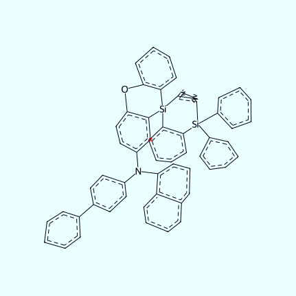 c1ccc(-c2ccc(N(c3ccc4c(c3)[Si]3(c5ccccc5O4)c4ccccc4[Si](c4ccccc4)(c4ccccc4)c4ccccc43)c3cccc4ccccc34)cc2)cc1